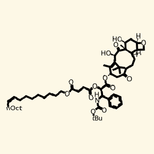 CCCCCCCC/C=C\CCCCCCCCOC(=O)CCC(=O)OC(C(=O)O[C@H]1CC(=O)C2CC[C@@H]3[C@@H]4CO[C@@H]4C[C@H](O)[C@@]3(C)C(=O)[C@H](O)C(=C1C)C2(C)C)C(NC(=O)OC(C)(C)C)c1ccccc1